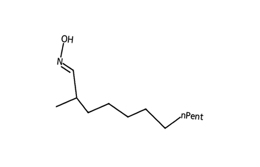 CCCCCCCCCCC(C)C=NO